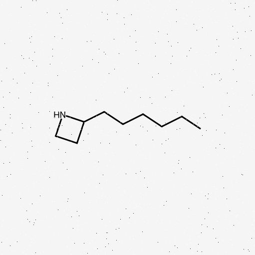 CCCCCCC1CCN1